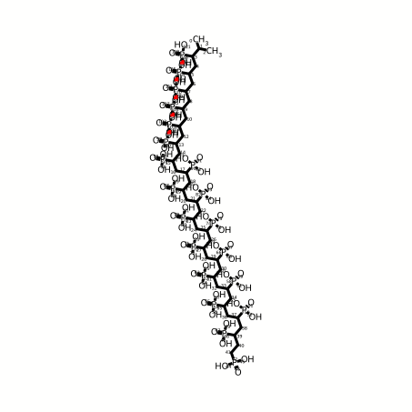 CC(C)C(CC(CC(CC(CC(CC(CC(CC(CC(CC(CC(CC(CC(CC(CC(CC(CC(CC(CC(CCP(=O)(O)O)P(=O)(O)O)P(=O)(O)O)P(=O)(O)O)P(=O)(O)O)P(=O)(O)O)P(=O)(O)O)P(=O)(O)O)P(=O)(O)O)P(=O)(O)O)P(=O)(O)O)P(=O)(O)O)P(=O)(O)O)P(=O)(O)O)P(=O)(O)O)P(=O)(O)O)P(=O)(O)O)P(=O)(O)O)P(=O)(O)O)P(=O)(O)O